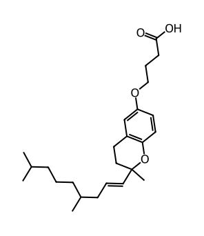 CC(C)CCCC(C)CC=CC1(C)CCc2cc(OCCCC(=O)O)ccc2O1